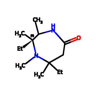 CCC1(C)CC(=O)NC(C)[C@@](C)(CC)N1C